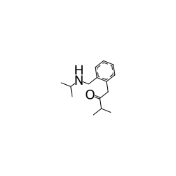 CC(C)NCc1ccccc1CC(=O)C(C)C